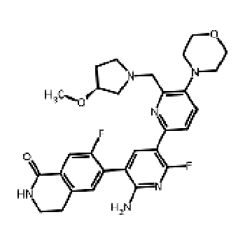 CO[C@H]1CCN(Cc2nc(-c3cc(-c4cc5c(cc4F)C(=O)NCC5)c(N)nc3F)ccc2N2CCOCC2)C1